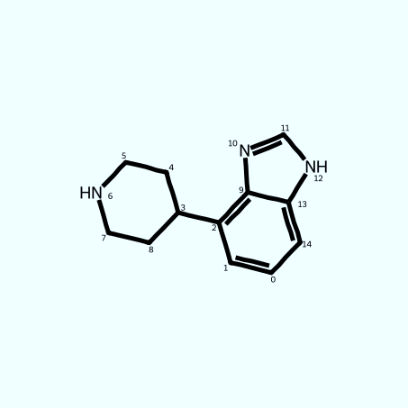 c1cc(C2CCNCC2)c2nc[nH]c2c1